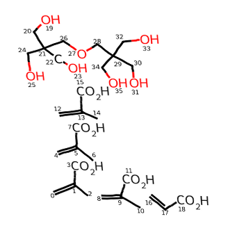 C=C(C)C(=O)O.C=C(C)C(=O)O.C=C(C)C(=O)O.C=C(C)C(=O)O.C=CC(=O)O.OCC(CO)(CO)COCC(CO)(CO)CO